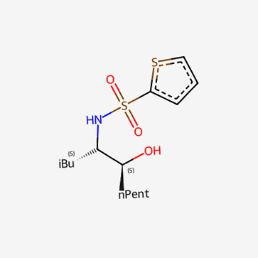 CCCCC[C@H](O)C(NS(=O)(=O)c1cccs1)[C@@H](C)CC